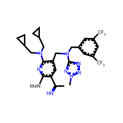 CNc1nc(N(CC2CC2)CC2CC2)c(CN(Cc2cc(C(F)(F)F)cc(C(F)(F)F)c2)c2nnn(C)n2)cc1C(C)=N